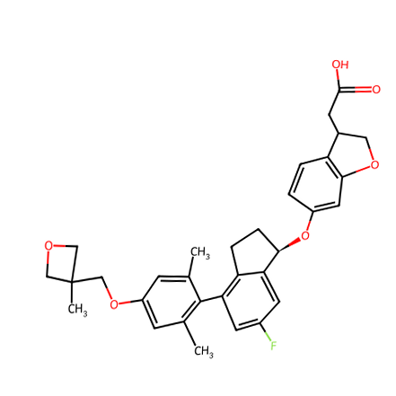 Cc1cc(OCC2(C)COC2)cc(C)c1-c1cc(F)cc2c1CC[C@H]2Oc1ccc2c(c1)OCC2CC(=O)O